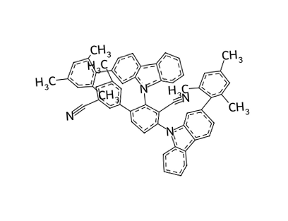 Cc1cc(C#N)cc(-c2ccc(-n3c4ccccc4c4ccc(-c5c(C)cc(C)cc5C)cc43)c(C#N)c2-n2c3ccccc3c3ccc(-c4c(C)cc(C)cc4C)cc32)c1